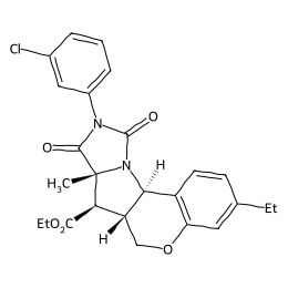 CCOC(=O)[C@@H]1[C@H]2COc3cc(CC)ccc3[C@@H]2N2C(=O)N(c3cccc(Cl)c3)C(=O)[C@@]12C